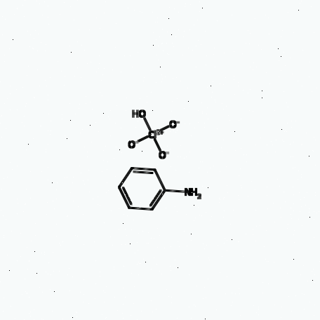 Nc1ccccc1.[O-][Cl+3]([O-])([O-])O